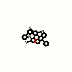 N#Cc1cc(C#N)c(-c2c3ccccc3c(-c3ccccc3)c3ccccc23)c(-c2cccc(C#N)c2-n2c3ccccc3c3ccccc32)c1